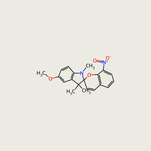 COc1ccc2c(c1)C(C)(C)C1(C=Cc3cccc([N+](=O)[O-])c3O1)N2C